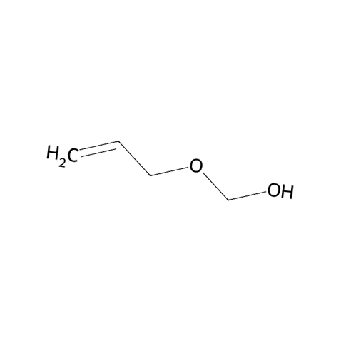 C=CCOCO